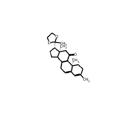 CC1=CC2=CCC3C(C(=O)C[C@@]4(C)C3CC[C@@H]4C3(C)OCCO3)[C@@]2(C)CC1